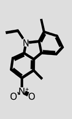 CCn1c2ccc([N+](=O)[O-])c(C)c2c2cccc(C)c21